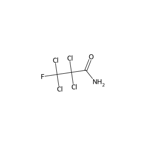 NC(=O)C(Cl)(Cl)C(F)(Cl)Cl